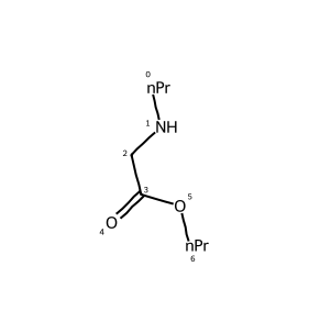 CCCNCC(=O)OCCC